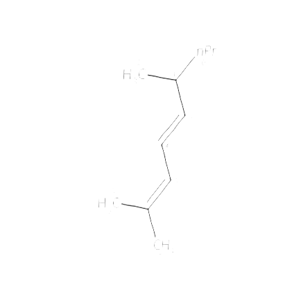 CCCC(C)C=CC=C(C)C